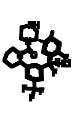 Cc1cc(F)ccc1[C@H]1CNCCN1C(=O)N1CCCCC1c1cc(C(F)(F)F)cc(C(F)(F)F)c1.Cl